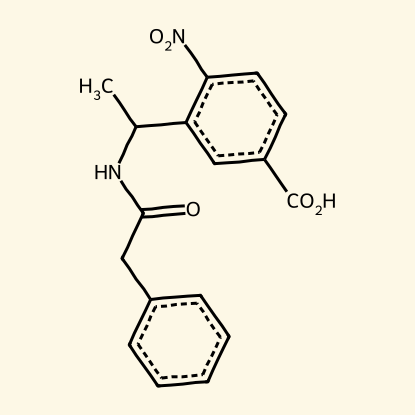 CC(NC(=O)Cc1ccccc1)c1cc(C(=O)O)ccc1[N+](=O)[O-]